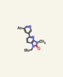 CC(=O)c1cncc(-c2ccc3c(n2)n(C)c(=O)n3CC(C)(C)C)c1